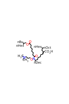 CCCCCCCCCCC(CCCCC=C(CC(CCCCCC)CCCCCCCC)C(=O)O)N(OCCCN(C)C)C(=O)CCCCCCC(=O)OCC(CCCC)CCCCCC